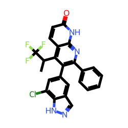 CC(c1c(-c2cc(Cl)c3[nH]ncc3c2)c(-c2ccccc2)nc2[nH]c(=O)ccc12)C(F)(F)F